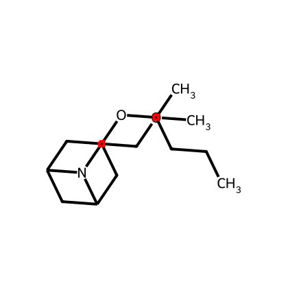 CCCC(C)OC1CC2CC(C1)N2CCOC